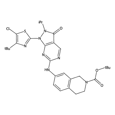 CC(C)n1c(=O)c2cnc(Nc3ccc4c(c3)CN(C(=O)OC(C)(C)C)CC4)nc2n1-c1nc(C(C)(C)C)c(Cl)s1